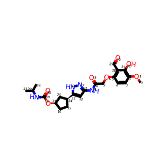 COc1ccc(OCC(=O)Nc2cc([C@H]3CC[C@@H](OC(=O)NC(C)C)C3)[nH]n2)c(C=O)c1O